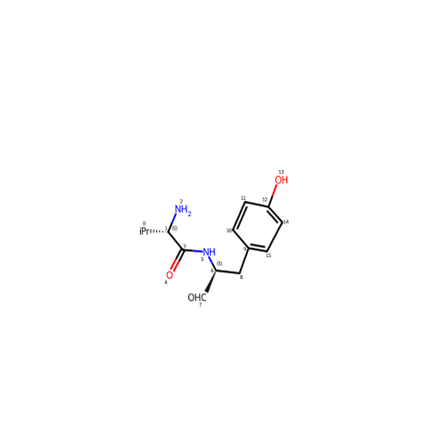 CC(C)[C@H](N)C(=O)N[C@H](C=O)Cc1ccc(O)cc1